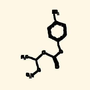 CC(OC(=O)Oc1ccc([N+](=O)[O-])cc1)O[N+](=O)[O-]